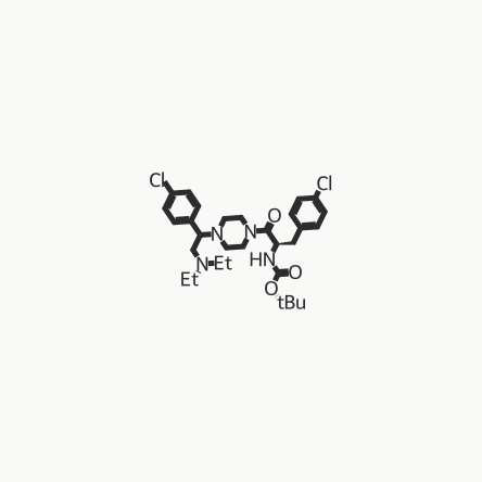 CCN(CC)CC(c1ccc(Cl)cc1)N1CCN(C(=O)[C@@H](Cc2ccc(Cl)cc2)NC(=O)OC(C)(C)C)CC1